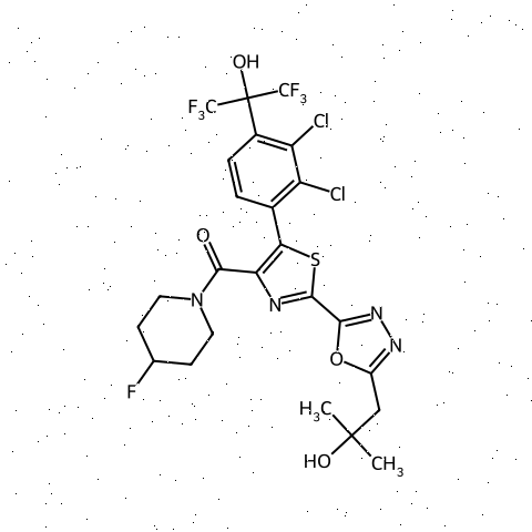 CC(C)(O)Cc1nnc(-c2nc(C(=O)N3CCC(F)CC3)c(-c3ccc(C(O)(C(F)(F)F)C(F)(F)F)c(Cl)c3Cl)s2)o1